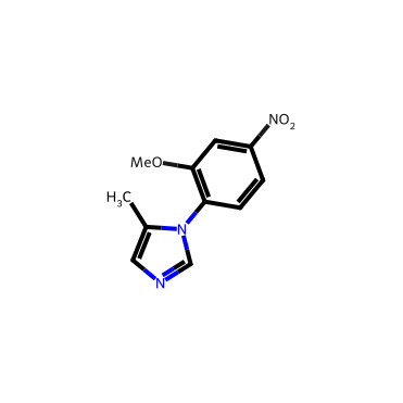 COc1cc([N+](=O)[O-])ccc1-n1cncc1C